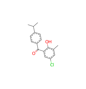 Cc1cc(Cl)cc(C(=O)c2ccc(C(C)C)cc2)c1O